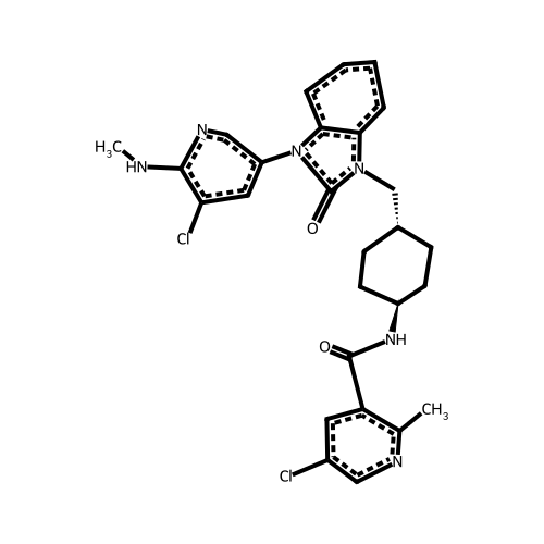 CNc1ncc(-n2c(=O)n(C[C@H]3CC[C@H](NC(=O)c4cc(Cl)cnc4C)CC3)c3ccccc32)cc1Cl